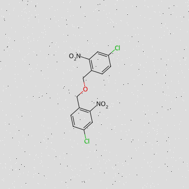 O=[N+]([O-])c1cc(Cl)ccc1COCc1ccc(Cl)cc1[N+](=O)[O-]